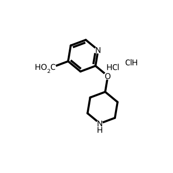 Cl.Cl.O=C(O)c1ccnc(OC2CCNCC2)c1